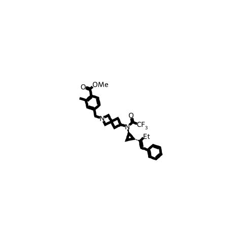 CC/C(=C\c1ccccc1)[C@@H]1C[C@H]1N(C(=O)C(F)(F)F)C1CC2(C1)CN(Cc1ccc(C(=O)OC)c(C)c1)C2